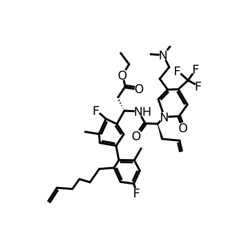 C=CCCCCc1cc(F)cc(C)c1-c1cc(C)c(F)c([C@H](CC(=O)OCC)NC(=O)[C@H](CC=C)n2cc(CCN(C)C)c(C(F)(F)F)cc2=O)c1